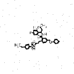 CCc1ccc(S(=O)(=O)NC(=O)CCc2ccc(COc3ccccc3)cc2C(=O)NC(CC(C)C)c2ccc(F)cc2)cc1